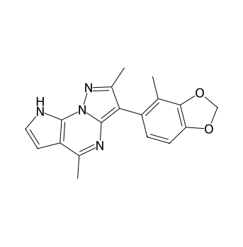 Cc1nn2c(nc(C)c3cc[nH]c32)c1-c1ccc2c(c1C)OCO2